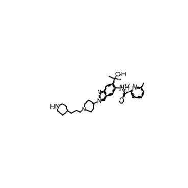 Cc1cccc(C(=O)Nc2cc3cn(C4CCN(CCCC5CCNCC5)CC4)nc3cc2C(C)(C)O)n1